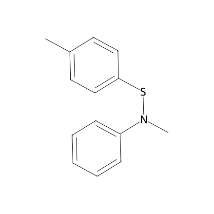 Cc1ccc(SN(C)c2ccccc2)cc1